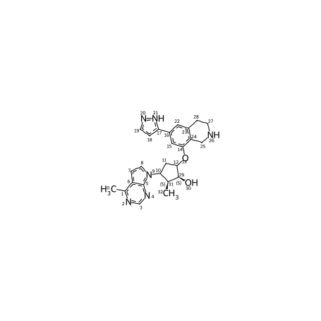 Cc1ncnc2c1ccn2C1CC(Oc2cc(-c3ccn[nH]3)cc3c2CNCC3)[C@@H](O)[C@H]1C